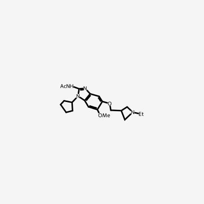 CCN1CC(COc2cc3nc(NC(C)=O)n(C4CCCC4)c3cc2OC)C1